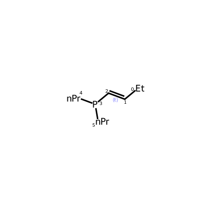 CC/C=C/P(CCC)CCC